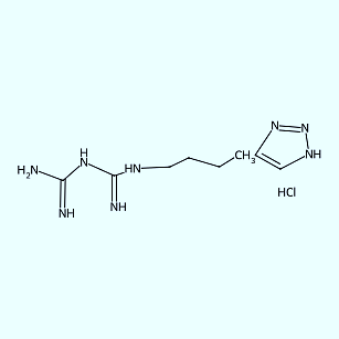 CCCCNC(=N)NC(=N)N.Cl.c1c[nH]nn1